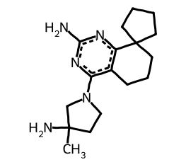 CC1(N)CCN(c2nc(N)nc3c2CCCC32CCCC2)C1